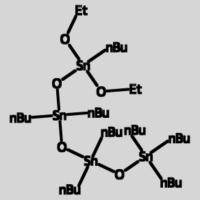 CCC[CH2][Sn]([CH2]CCC)([CH2]CCC)[O][Sn]([CH2]CCC)([CH2]CCC)[O][Sn]([CH2]CCC)([CH2]CCC)[O][Sn]([CH2]CCC)([O]CC)[O]CC